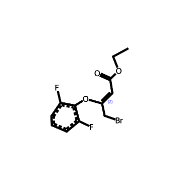 CCOC(=O)/C=C(/CBr)Oc1c(F)cccc1F